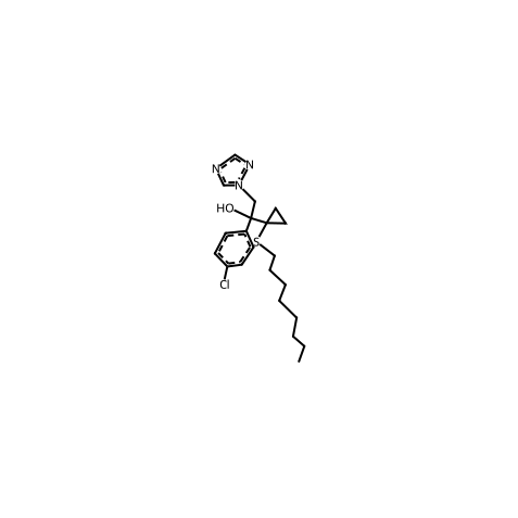 CCCCCCCCSC1(C(O)(Cn2cncn2)c2ccc(Cl)cc2)CC1